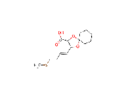 CSCC/C=C/C1OC2(CCCCC2)OC1C(=O)O